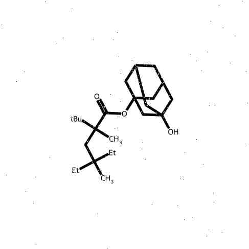 CCC(C)(CC)CC(C)(C(=O)OC12CC3CC(CC(O)(C3)C1)C2)C(C)(C)C